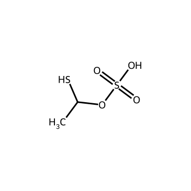 CC(S)OS(=O)(=O)O